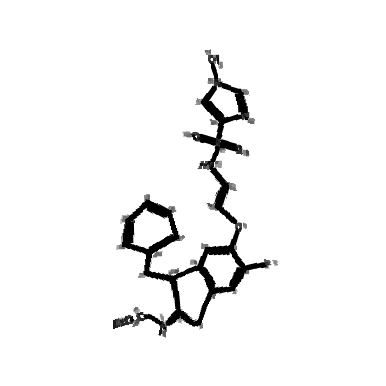 CCOC(=O)NC1Cc2cc(F)c(OCCNS(=O)(=O)c3cn(C)cn3)cc2C1Cc1ccccc1